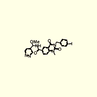 COC(NC(=O)c1ccc2c(c1)c(=O)n(Cc1ccc(I)cc1)c(=O)n2C)c1ccnnc1